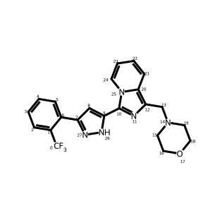 FC(F)(F)c1ccccc1-c1cc(-c2nc(CN3CCOCC3)c3ccccn23)[nH]n1